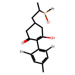 CCc1cc(C)cc(CC)c1C1=C(O)CC(CC(C)[S+]([O-])C(C)C)CC1=O